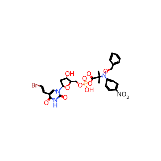 CC(C)(C(=O)OP(=O)(O)OC[C@H]1O[C@@H](n2cc(/C=C/Br)c(=O)[nH]c2=O)C[C@@H]1O)N(OCc1ccccc1)c1ccc([N+](=O)[O-])cc1